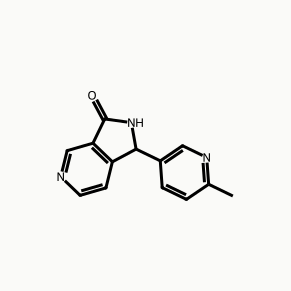 Cc1ccc(C2NC(=O)c3cnccc32)cn1